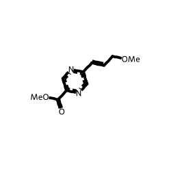 COCC=Cc1cnc(C(=O)OC)cn1